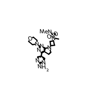 CNS(=O)(=O)N(C)[C@H]1C[C@H](N2CCc3c(-c4cnc(N)nc4)nc(N4CCOCC4)nc32)C1